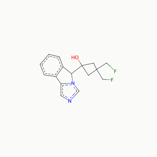 OC1(C2c3ccccc3-c3cncn32)CC(CF)(CF)C1